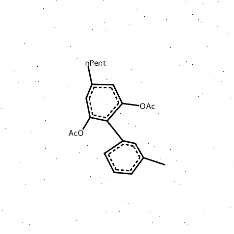 CCCCCc1cc(OC(C)=O)c(-c2cccc(C)c2)c(OC(C)=O)c1